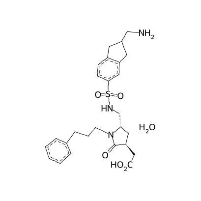 NCC1Cc2ccc(S(=O)(=O)NC[C@@H]3C[C@@H](CC(=O)O)C(=O)N3CCCc3ccccc3)cc2C1.O